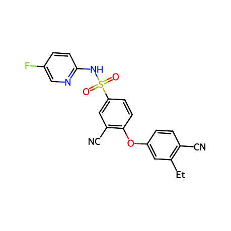 CCc1cc(Oc2ccc(S(=O)(=O)Nc3ccc(F)cn3)cc2C#N)ccc1C#N